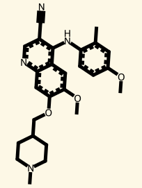 COc1ccc(Nc2c(C#N)cnc3cc(OCC4CCN(C)CC4)c(OC)cc23)c(C)c1